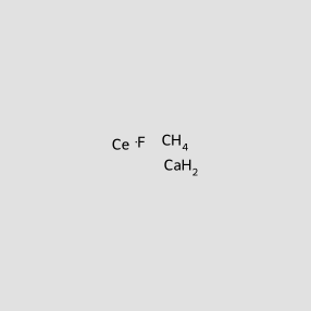 C.[CaH2].[Ce].[F]